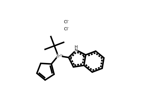 C[C](C)(C)[Zr+2]([C]1=CC=CC1)[c]1cc2ccccc2[nH]1.[Cl-].[Cl-]